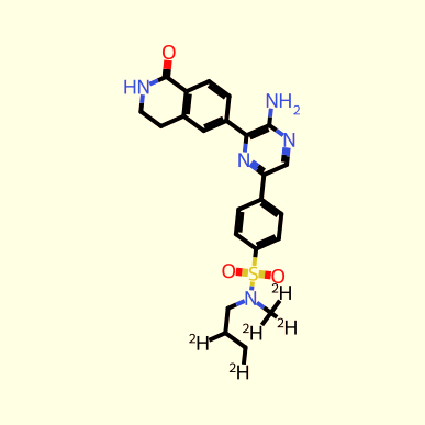 [2H]CC([2H])CN(C([2H])([2H])[2H])S(=O)(=O)c1ccc(-c2cnc(N)c(-c3ccc4c(c3)CCNC4=O)n2)cc1